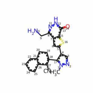 Cn1ncc(-c2cc3c(CN)n[nH]c(=O)c3s2)c1-c1ccc2ccccc2c1C#N